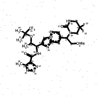 COCC(c1cnn2cc(C(NC(=O)c3nonc3C)C(C)OC(C)(C)C(F)(F)F)nc2c1)N1CC(F)(F)CNC1=O